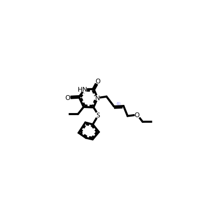 CCOC/C=C/Cn1c(Sc2ccccc2)c(CC)c(=O)[nH]c1=O